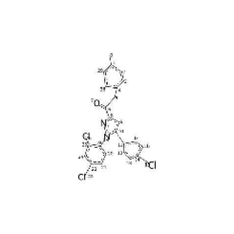 Cc1ccc(CC(=O)c2cc(-c3ccc(Cl)cc3)n(-c3ccc(Cl)cc3Cl)n2)cc1